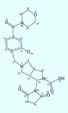 O=C(c1ccc(CN2CC3CN(C(=O)O)C(N4C(=O)CCC4=O)C3C2)c(Cl)c1)N1CCOCC1